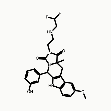 COc1ccc2[nH]c3c(c2c1)CC1(C)C(=O)N(CCNCC(F)F)C(=O)N1C3c1cccc(O)c1